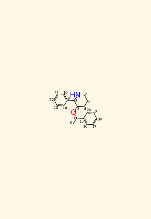 CC(OC1CCCNC1c1ccccc1)c1ccccc1